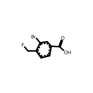 O=C(O)c1ccc(CF)c(Br)c1